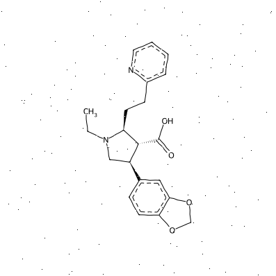 CCN1C[C@H](c2ccc3c(c2)OCO3)[C@@H](C(=O)O)[C@@H]1CCc1ccccn1